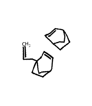 C1=CC2CCC1C2.C=CC12C=CC(CC1)C2